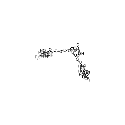 O=C(S)CSC1CC(=O)C(Cc2ccc(OCCOCCOCCOCCNC(=O)NC[C@H]3O[C@H]4CCN(C(=O)C(F)(F)F)[C@H]4[C@@H](O)[C@H]3O)c(OCCOCCOCCOCCNC(=O)NC[C@H]3O[C@H]4CCN(C(=O)C(F)(F)F)[C@H]4[C@@H](O)[C@H]3O)c2)C1=O